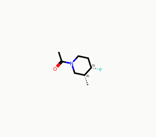 CC(=O)N1CC[C@H](F)[C@H](C)C1